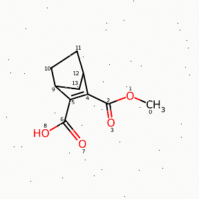 COC(=O)C1=C(C(=O)O)C2CCC1C2